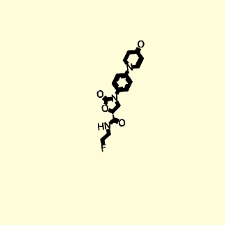 O=C1C=CN(c2ccc(N3C[C@H](C(=O)NCCF)OC3=O)cc2)CC1